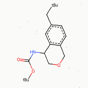 CC(C)(C)Cc1ccc2c(c1)C(NC(=O)OC(C)(C)C)COC2